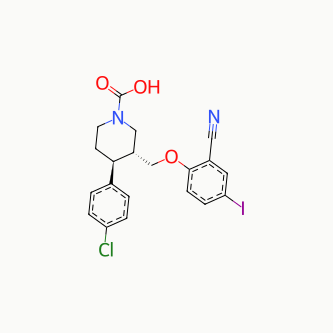 N#Cc1cc(I)ccc1OC[C@H]1CN(C(=O)O)CC[C@@H]1c1ccc(Cl)cc1